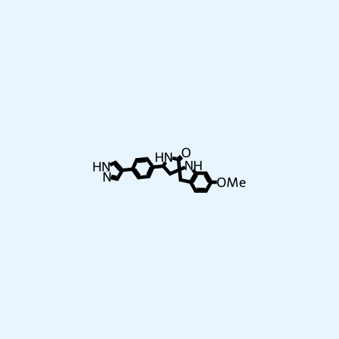 COc1ccc2c(c1)NC1(C2)CC(c2ccc(-c3cn[nH]c3)cc2)NC1=O